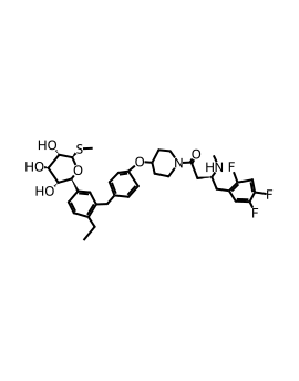 CCc1ccc([C@@H]2O[C@H](SC)[C@@H](O)[C@H](O)[C@H]2O)cc1Cc1ccc(OC2CCN(C(=O)C[C@H](Cc3cc(F)c(F)cc3F)NC)CC2)cc1